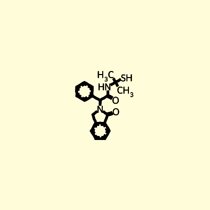 CC(C)(S)NC(=O)C(c1ccccc1)N1Cc2ccccc2C1=O